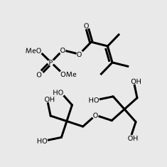 COP(=O)(OC)OOC(=O)C(C)=C(C)C.OCC(CO)(CO)COCC(CO)(CO)CO